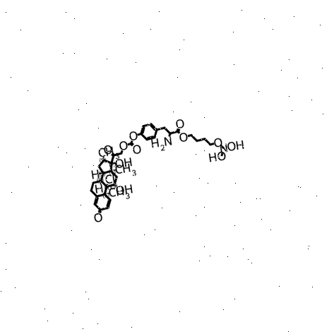 C[C@H]1C[C@H]2[C@@H]3CCC4=CC(=O)C=C[C@]4(C)[C@@]3(Cl)[C@@H](O)C[C@]2(C)[C@@]1(O)C(=O)COC(=O)Oc1ccc(CC(N)C(=O)OCCCCON(O)O)cc1